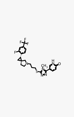 Cn1c(SCCCN2CC[C@]3(C[C@@H]3c3ccc(C(F)(F)F)cc3F)C2)nnc1-c1ccc(=O)[nH]c1